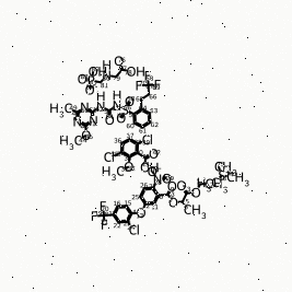 CCOC(=O)C(C)OC(=O)c1cc(Oc2ccc(C(F)(F)F)cc2Cl)ccc1[N+](=O)[O-].COc1c(Cl)ccc(Cl)c1C(=O)O.COc1nc(C)nc(NC(=O)NS(=O)(=O)c2ccccc2CCC(F)(F)F)n1.C[S+](C)C.O=C(O)CNCP(=O)([O-])O